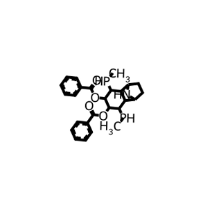 CPC1C(OC(=O)c2ccccc2)C(OC(=O)c2ccccc2)C(PC)C2C3CCC(N3)C12